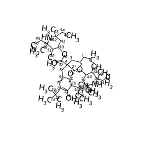 CCCCC(Cc1cc(C(C)(C)C)c(O)c(C(C)(C)C)c1)(C(=O)OC1CC(C)(CC)NC(C)(CC)C1C)C(=O)OC1CC(C)(CC)NC(C)(CC)C1C